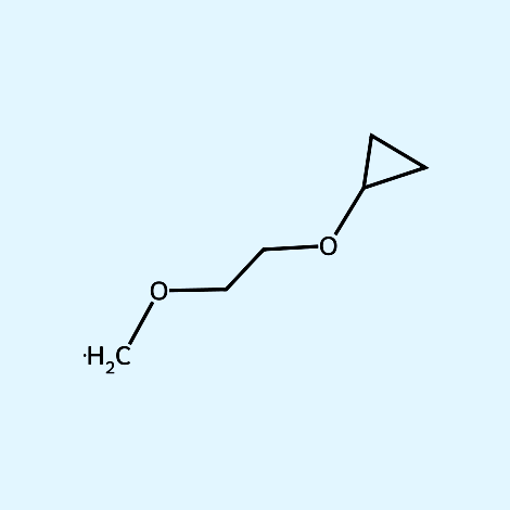 [CH2]OCCOC1CC1